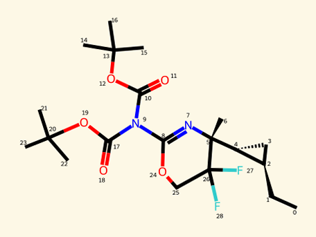 CC[C@@H]1C[C@H]1[C@@]1(C)N=C(N(C(=O)OC(C)(C)C)C(=O)OC(C)(C)C)OCC1(F)F